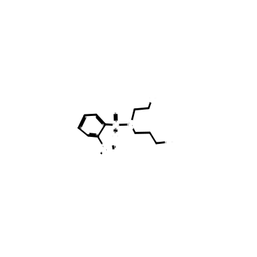 O=[N+]([O-])c1ccccc1S(=O)(=O)N(CCO)CCCO